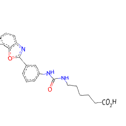 O=C(O)CCCCCNC(=O)Nc1cccc(-c2nc3ccccc3o2)c1